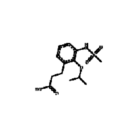 CC(C)Oc1c(CCC(=O)O)cccc1NS(C)(=O)=O